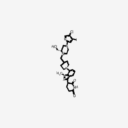 Cn1nc(C2CCC(=O)NC2=O)c2cccc(N3CCC(CN4CCN(c5cc(I)c(Cl)cn5)C[C@H]4CO)CC3)c21